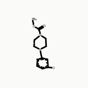 CC(C)(C)OC(=O)N1CCN(c2cccc(Cl)c2)CC1